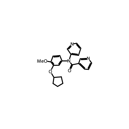 COc1ccc(N(C(=O)c2cccnc2)c2cccnc2)cc1OC1CCCC1